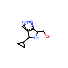 OCC1NC(C2CC2)c2c[nH]nc21